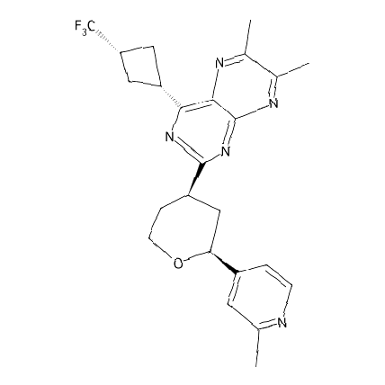 Cc1cc([C@@H]2C[C@H](c3nc4nc(C)c(C)nc4c([C@H]4C[C@@H](C(F)(F)F)C4)n3)CCO2)ccn1